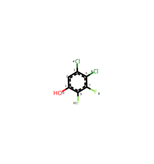 Oc1cc(Cl)c(Cl)c(F)c1F